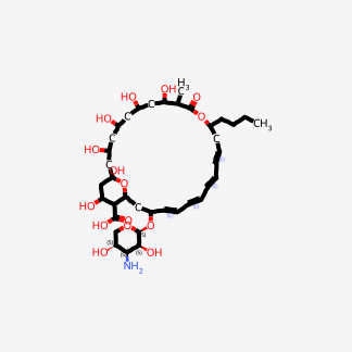 CCCCC1C/C=C/C=C/C=C/C=C/C(O[C@@H]2OC[C@@H](O)[C@H](N)[C@@H]2O)CC2OC(O)(CC(O)CC(O)CC(O)CC(O)C(C)C(=O)O1)CC(O)C2C(=O)O